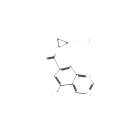 O=C(O)[C@H]1C[C@@H]1C(=O)c1cc(Cl)c2cncnc2c1